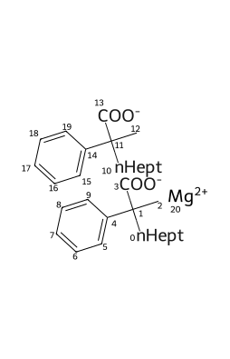 CCCCCCCC(C)(C(=O)[O-])c1ccccc1.CCCCCCCC(C)(C(=O)[O-])c1ccccc1.[Mg+2]